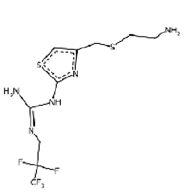 NCCSCc1csc(N/C(N)=N\CC(F)(F)C(F)(F)F)n1